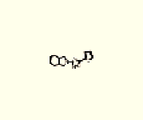 C1=CCC2CN(c3nc(-c4ccco4)n[nH]3)CC2C1